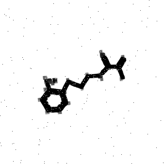 C=C(C)C(=O)OCCCc1ccccc1S(=O)(=O)O